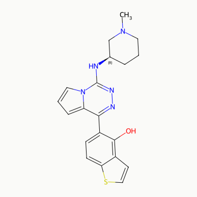 CN1CCC[C@@H](Nc2nnc(-c3ccc4sccc4c3O)c3cccn23)C1